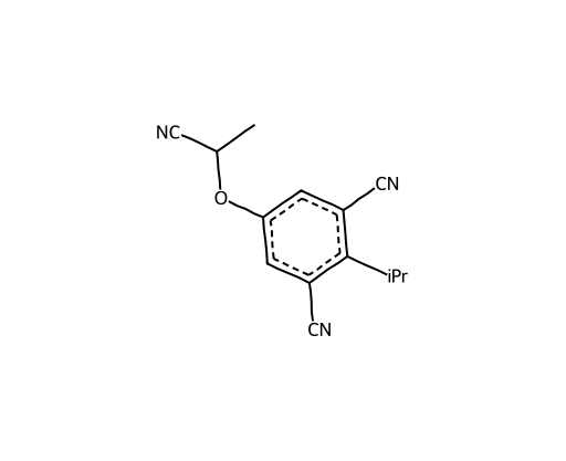 CC(C#N)Oc1cc(C#N)c(C(C)C)c(C#N)c1